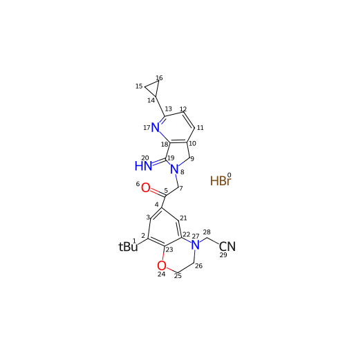 Br.CC(C)(C)c1cc(C(=O)CN2Cc3ccc(C4CC4)nc3C2=N)cc2c1OCCN2CC#N